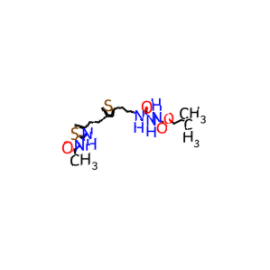 CC(=O)Nc1nc(CCc2csc(CCCNC(=O)NNC(=O)OCC(C)C)c2)cs1